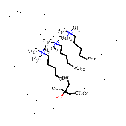 CCCCCCCCCCCCCC[N+](C)(C)C.CCCCCCCCCCCCCC[N+](C)(C)C.CCCCCCCCCCCCCC[N+](C)(C)C.O=C([O-])CC(O)(CC(=O)[O-])C(=O)[O-]